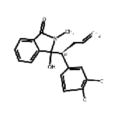 C=CC[C@@H](c1ccc(Cl)c(Cl)c1)C1(O)c2ccccc2C(=O)N1C